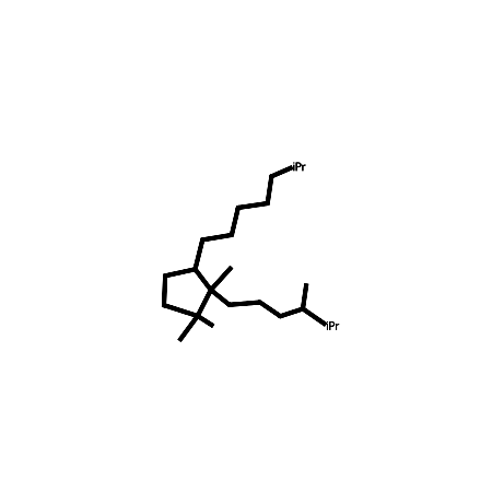 CC(C)CCCCCC1CCC(C)(C)C1(C)CCCC(C)C(C)C